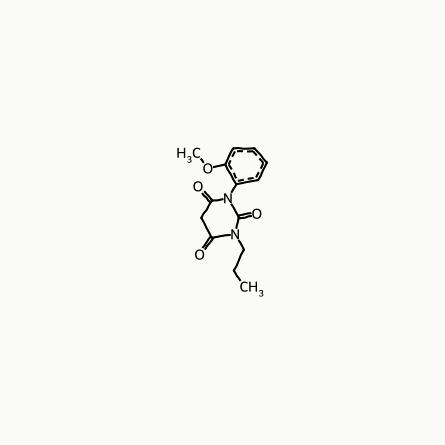 CCCN1C(=O)CC(=O)N(c2ccccc2OC)C1=O